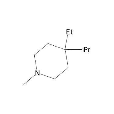 CCC1(C(C)C)CCN(C)CC1